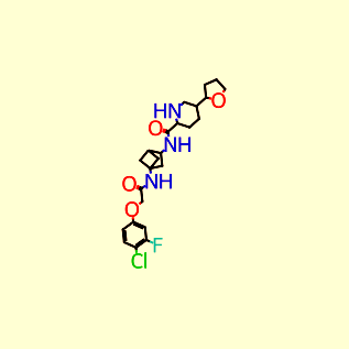 O=C(COc1ccc(Cl)c(F)c1)NC12CC(C1)C(NC(=O)C1CCC(C3CCCO3)CN1)C2